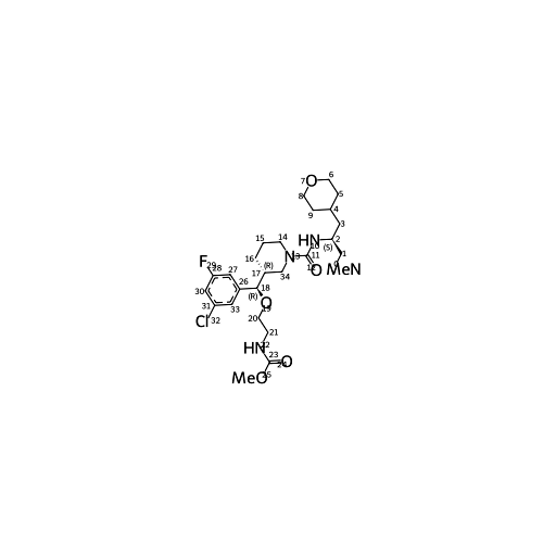 CNC[C@H](CC1CCOCC1)NC(=O)N1CCC[C@@H]([C@@H](OCCNC(=O)OC)c2cc(F)cc(Cl)c2)C1